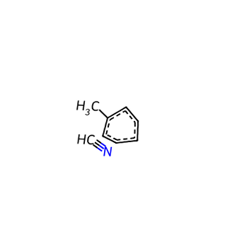 C#N.Cc1ccccc1